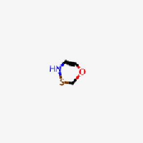 C1=COCSN1